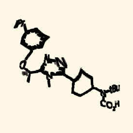 CC(C)c1cccc(O[C@H](C)c2nnc(C3CCC(N(C(=O)O)C(C)(C)C)CC3)n2C)c1